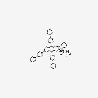 C[Si]1(C)c2ccccc2-c2cc3c(-c4ccc(-c5ccccc5)cc4)c4ccc(-c5ccc(-c6ccccc6)cc5)cc4c(-c4ccc(-c5ccccc5)cc4)c3cc21